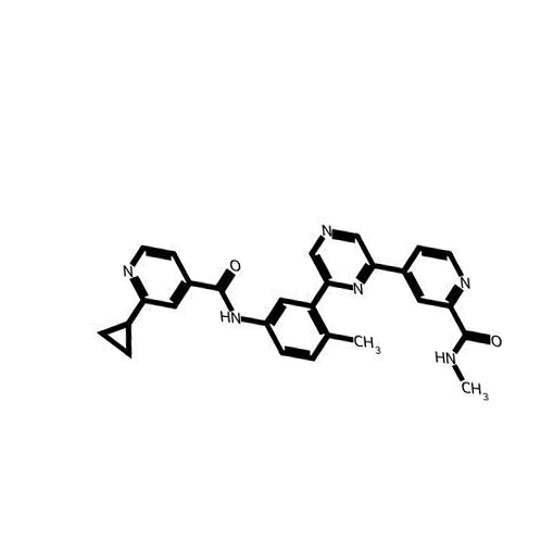 CNC(=O)c1cc(-c2cncc(-c3cc(NC(=O)c4ccnc(C5CC5)c4)ccc3C)n2)ccn1